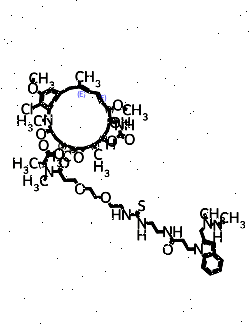 CNN(C)Cc1cc2ccccc2n1CCC(=O)NCCNC(=S)NCCOCCOCCC(=O)N(C)[C@@H](C)C(=O)O[C@H]1CC(=O)N(C)c2cc(cc(OC)c2Cl)C/C(C)=C/C=C/[C@@H](OC)[C@@]2(O)C[C@H](OC(=O)N2)[C@@H](C)C2O[C@]21C